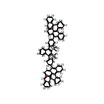 C[Si]1(C)c2cc(-c3c4ccccc4c(-c4ccccc4-c4cccc5ccccc45)c4ccccc34)ccc2-c2c1c1c(c3ccccc23)-c2ccc(-c3c4ccccc4c(-c4ccccc4-c4cccc5ccccc45)c4ccccc34)cc2[Si]1(C)C